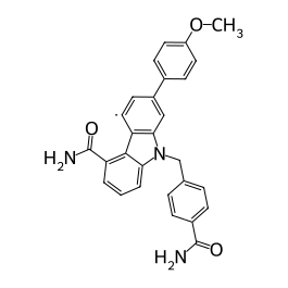 COc1ccc(-c2c[c]c3c4c(C(N)=O)cccc4n(Cc4ccc(C(N)=O)cc4)c3c2)cc1